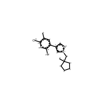 Cc1cc(-c2cnn(CC3(C)CCCC3)c2)c(Br)nc1Cl